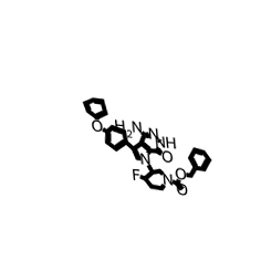 Nc1n[nH]c(=O)c2c1c(-c1ccc(Oc3ccccc3)cc1)cn2C1CN(C(=O)OCc2ccccc2)CCC1F